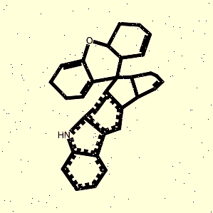 C1=CC2C(CC1)OC1=CCCC=C1C21c2cc3[nH]c4ccccc4c3cc2C2C=CCCC21